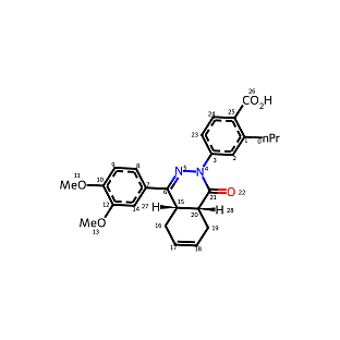 CCCc1cc(N2N=C(c3ccc(OC)c(OC)c3)[C@H]3CC=CC[C@H]3C2=O)ccc1C(=O)O